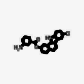 Nc1cccc(C(=O)Oc2ccc3ccc4c5cc(Cl)ccc5[nH]c4c3c2)c1